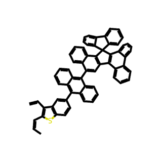 C=Cc1c(/C=C\C)sc2ccc(-c3c4ccccc4c(-c4cc5c(c6ccccc46)C4(c6ccccc6-c6ccccc64)c4c-5c5ccccc5c5ccccc45)c4ccccc34)cc12